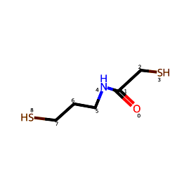 O=C(CS)NCCCS